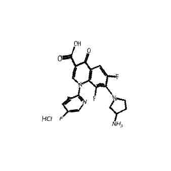 Cl.NC1CCN(c2c(F)cc3c(=O)c(C(=O)O)cn(-c4ccc(F)cn4)c3c2F)C1